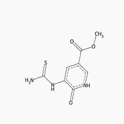 COC(=O)c1c[nH]c(=O)c(NC(N)=S)c1